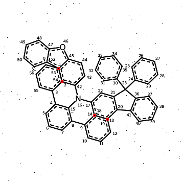 c1ccc(-c2cccc(-c3ccccc3)c2N(c2ccc3c(c2)C(c2ccccc2)(c2ccccc2)c2ccccc2-3)c2ccc3oc4ccccc4c3c2)cc1